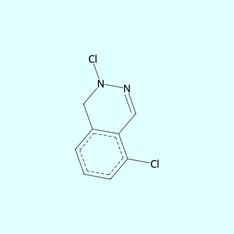 Clc1cccc2c1C=NN(Cl)C2